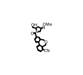 CO/N=C1\CC(CO)N(C(=O)c2ccc3c(c2)COCc2c(C#N)cccc2-3)C1